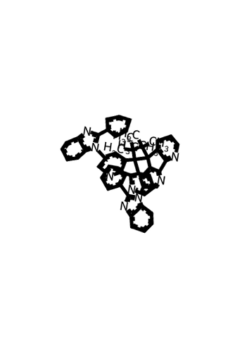 CC(C)(C)C1(C2(C(C)(C)C)c3cccnc3-c3ncc(-n4c(-c5ccccc5)nc5ccccc54)cc32)c2cccnc2-c2ncc(-n3c(-c4ccccc4)nc4ccccc43)cc21